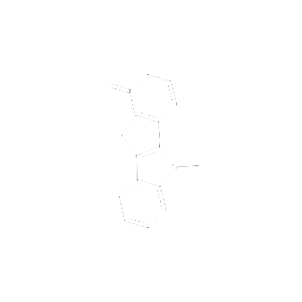 Cn1c2c(c3ccccc31)CC1=C2C=CCC1=O